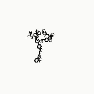 COCCCN1C(=O)COc2ccc(COC3CN(C(=O)OC(C)(C)C)CCC3c3ccc(OCCCOc4ccccc4F)cc3)cc21